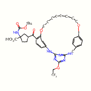 CC(C)(C)OC(=O)NC1(C(=O)O)CCC(C(=O)c2ccc3cc2OCCCCCCCCOc2ccc(cc2)CNc2nc(nc(OCC(F)(F)F)n2)N3)C1